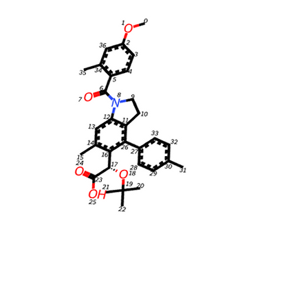 COc1ccc(C(=O)N2CCc3c2cc(C)c([C@H](OC(C)(C)C)C(=O)O)c3-c2ccc(C)cc2)c(C)c1